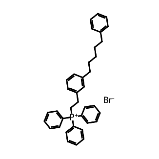 [Br-].c1ccc(CCCCCc2cccc(CC[P+](c3ccccc3)(c3ccccc3)c3ccccc3)c2)cc1